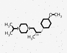 CO[C@H]1CC[C@H](C[C@H](C)CN2CCN(C(C)C)CC2)CC1